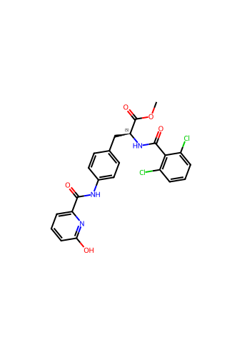 COC(=O)[C@H](Cc1ccc(NC(=O)c2cccc(O)n2)cc1)NC(=O)c1c(Cl)cccc1Cl